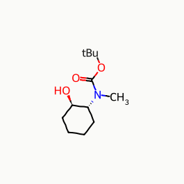 CN(C(=O)OC(C)(C)C)[C@@H]1CCCC[C@H]1O